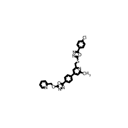 Cc1cc(-c2ccc(-c3nnc(OCc4ccccn4)o3)cc2)cc(CSc2nnc(-c3ccc(Cl)cc3)o2)n1